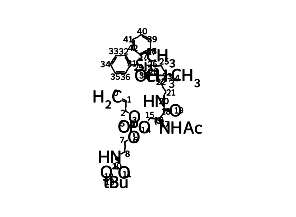 C=CCOP(=O)(OCCNC(=O)OC(C)(C)C)OC[C@H](NC(C)=O)C(=O)NCCC(C)CC(C)(C)[Si](O)(c1ccccc1)c1ccccc1